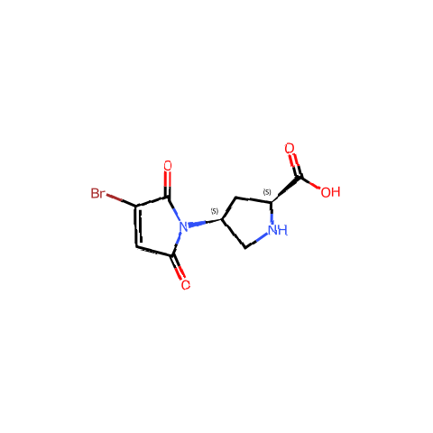 O=C(O)[C@@H]1C[C@H](N2C(=O)C=C(Br)C2=O)CN1